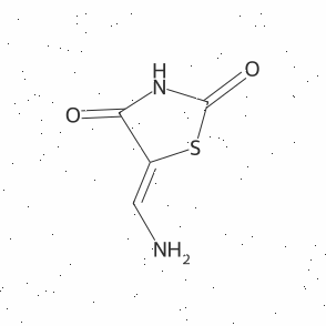 NC=C1SC(=O)NC1=O